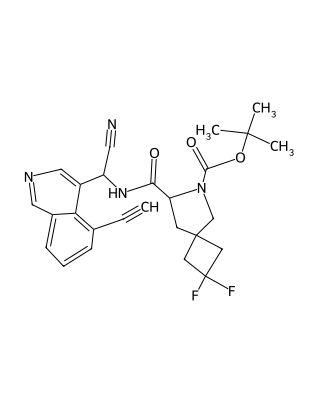 C#Cc1cccc2cncc(C(C#N)NC(=O)C3CC4(CN3C(=O)OC(C)(C)C)CC(F)(F)C4)c12